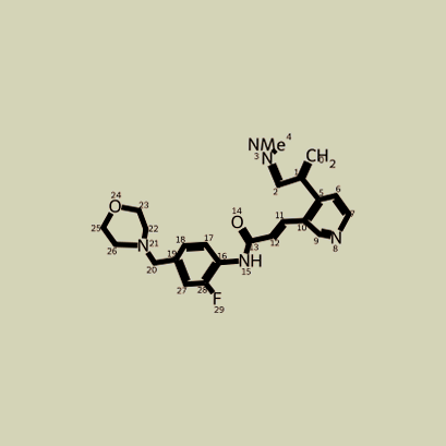 C=C(/C=N\NC)c1ccncc1/C=C/C(=O)Nc1ccc(CN2CCOCC2)cc1F